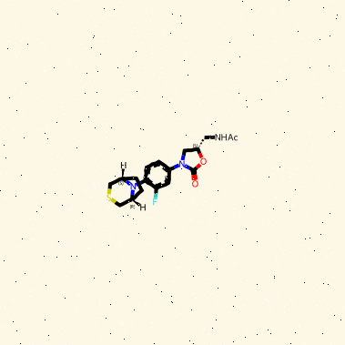 CC(=O)NC[C@H]1CN(c2ccc(N3[C@@H]4CC[C@H]3CSC4)c(F)c2)C(=O)O1